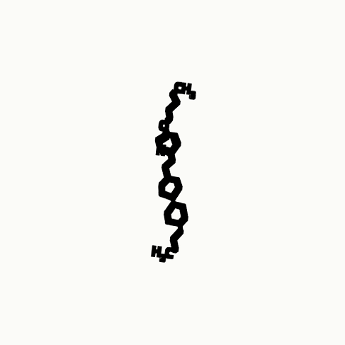 CCCCCOc1ccc(CCC2CCC([C@H]3CC[C@H](CCCC)CC3)CC2)nc1